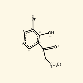 CCOC(=O)CC(=O)c1cccc(Br)c1O